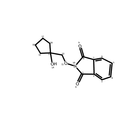 O=C1c2ccccc2C(=O)N1OCC1(O)CCCC1